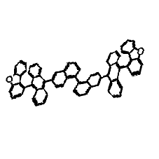 c1cc(-c2cccc3cc(-c4c5ccccc5c(-c5cccc6oc7ccccc7c56)c5ccccc45)ccc23)c2ccc(-c3c4ccccc4c(-c4cccc5oc6ccccc6c45)c4ccccc34)cc2c1